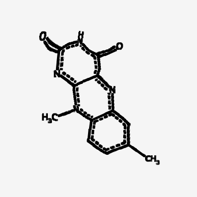 Cc1ccc2c(c1)nc1c(=O)[nH]c(=O)nc-1n2C